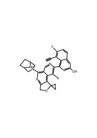 C#Cc1c(F)ccc2cc(O)cc(-c3ncc4c(N5CC6CCC(C5)N6)nc5c(c4c3F)C3(CC3)OC5)c12